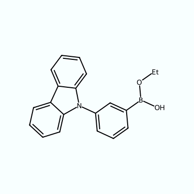 CCOB(O)c1cccc(-n2c3ccccc3c3ccccc32)c1